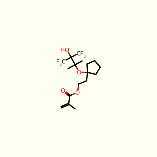 C=C(C)C(=O)OCCC1(OC(C)(C)C(O)(C(F)(F)F)C(F)(F)F)CCCC1